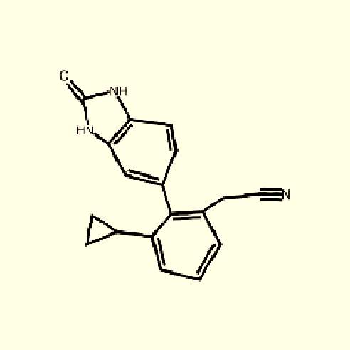 N#CCc1cccc(C2CC2)c1-c1ccc2[nH]c(=O)[nH]c2c1